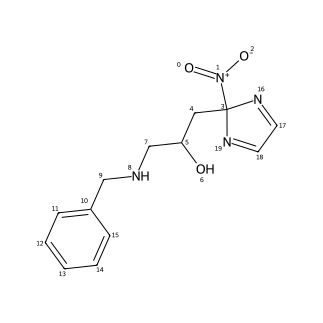 O=[N+]([O-])C1(CC(O)CNCc2ccccc2)N=CC=N1